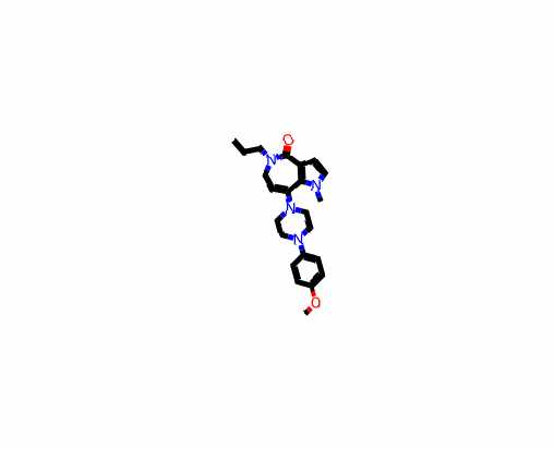 CCCN1CC=C(N2CCN(c3ccc(OC)cc3)CC2)c2c(ccn2C)C1=O